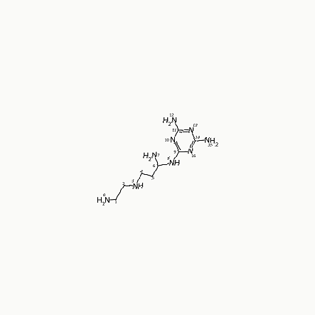 NCCNCCC(N)Nc1nc(N)nc(N)n1